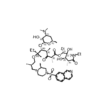 CCNC(=O)[C@H](C)[C@@H](O)[C@](C)(O)[C@@H](CC)OC(=O)[C@H](C)C(=O)[C@H](C)[C@@H](O[C@@H]1O[C@H](C)C[C@H](N(C)C)[C@H]1O)[C@@](C)(CC)OCC(C)CN1CCN(S(=O)(=O)c2ccc3ccncc3c2)CC1C